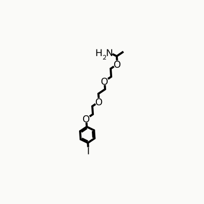 CC(N)OCCOCCOCCOc1ccc(I)cc1